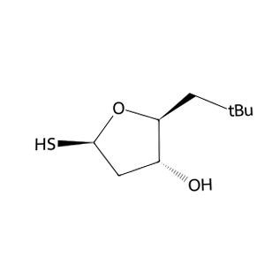 CC(C)(C)C[C@@H]1O[C@H](S)C[C@H]1O